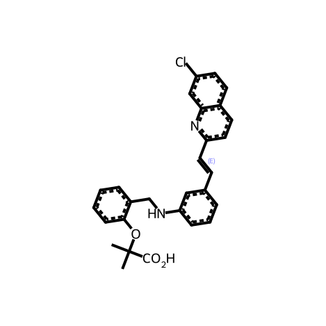 CC(C)(Oc1ccccc1CNc1cccc(/C=C/c2ccc3ccc(Cl)cc3n2)c1)C(=O)O